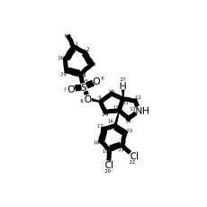 Cc1ccc(S(=O)(=O)O[C@H]2C[C@@H]3CNC[C@]3(c3ccc(Cl)c(Cl)c3)C2)cc1